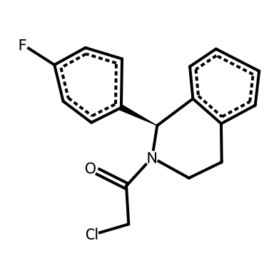 O=C(CCl)N1CCc2ccccc2[C@@H]1c1ccc(F)cc1